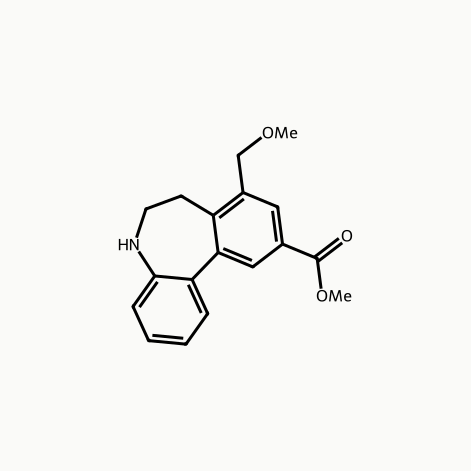 COCc1cc(C(=O)OC)cc2c1CCNc1ccccc1-2